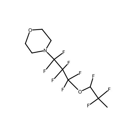 CC(F)(F)C(F)OC(F)(F)C(F)(F)C(F)(F)N1CCOCC1